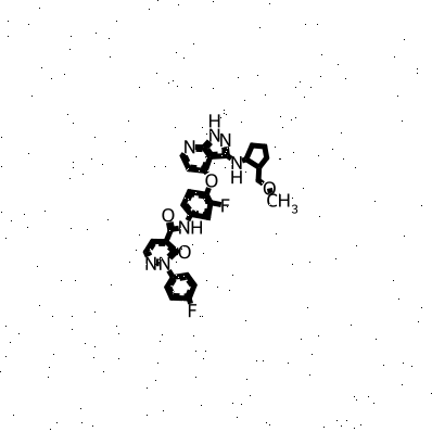 COCC1CCCC1Nc1n[nH]c2nccc(Oc3ccc(NC(=O)c4ccnn(-c5ccc(F)cc5)c4=O)cc3F)c12